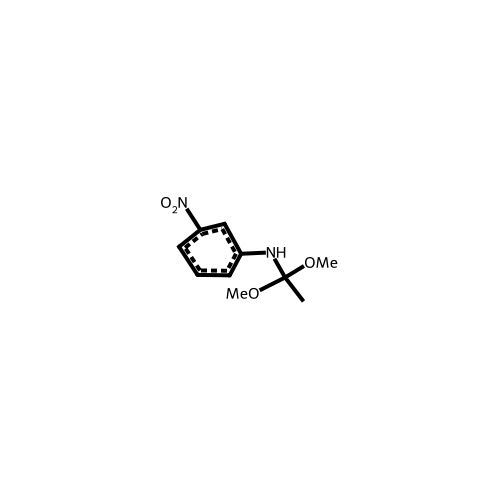 COC(C)(Nc1cccc([N+](=O)[O-])c1)OC